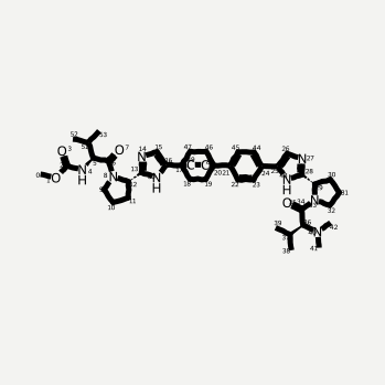 COC(=O)N[C@H](C(=O)N1CCC[C@H]1c1ncc(C23CCC(c4ccc(-c5cnc([C@@H]6CCCN6C(=O)[C@H](C(C)C)N(C)C)[nH]5)cc4)(CC2)CC3)[nH]1)C(C)C